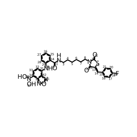 O=C(NCCCCCCN1C(=O)S/C(=C\c2ccc(F)cc2)C1=O)c1ccccc1Nc1ccc(N(O)O)c2nonc12